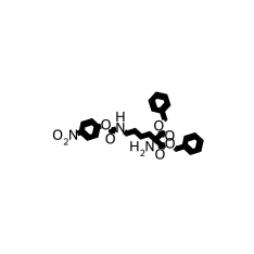 NC(CCCCNC(=O)Oc1ccc([N+](=O)[O-])cc1)(C(=O)OCc1ccccc1)C(=O)OCc1ccccc1